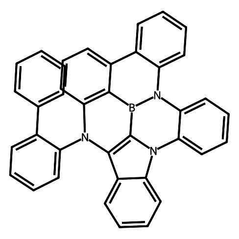 c1ccc(-c2ccccc2N2c3cccc4c3B3c5c2c2ccccc2n5-c2ccccc2N3c2ccccc2-4)cc1